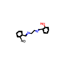 O=Nc1ccccc1/C=N/CC/N=C/c1ccccc1O